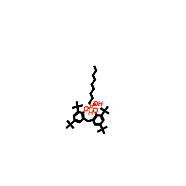 CCCCCCCCC[PH]1(O)Oc2c(cc(C(C)(C)C)cc2C(C)(C)C)Cc2cc(C(C)(C)C)cc(C(C)(C)C)c2O1